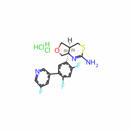 Cl.Cl.NC1=N[C@@]2(c3cc(-c4cncc(F)c4)c(F)cc3F)COC[C@H]2CS1